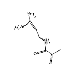 C=C(C)C(=O)NCC=C(N)N